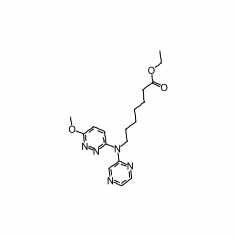 CCOC(=O)CCCCCCN(c1cnccn1)c1ccc(OC)nn1